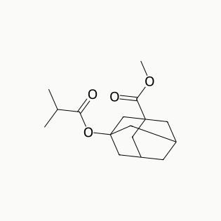 COC(=O)C12CC3CC(CC(OC(=O)C(C)C)(C3)C1)C2